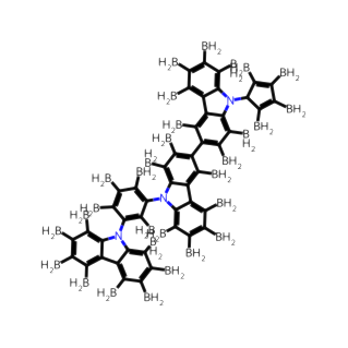 BC1=C(B)C(n2c3c(B)c(B)c(B)c(B)c3c3c(B)c(-c4c(B)c(B)c5c(c4B)c4c(B)c(B)c(B)c(B)c4n5-c4c(B)c(B)c(B)c(-n5c6c(B)c(B)c(B)c(B)c6c6c(B)c(B)c(B)c(B)c65)c4B)c(B)c(B)c32)C(B)=C1B